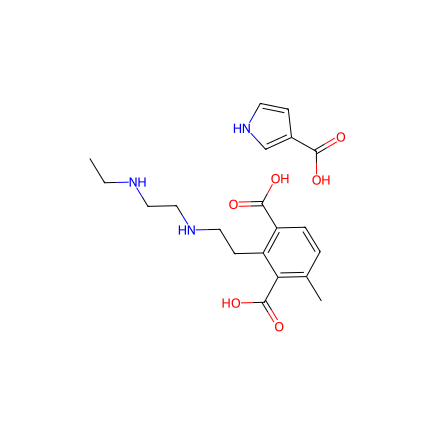 CCNCCNCCc1c(C(=O)O)ccc(C)c1C(=O)O.O=C(O)c1cc[nH]c1